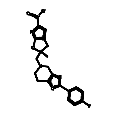 CC1(CN2CCc3oc(-c4ccc(F)cc4)nc3C2)Cn2cc([N+](=O)[O-])nc2O1